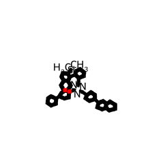 C[Si]1(C)c2cccc(-c3nc(-c4ccc(-c5ccccc5)cc4)nc(-c4ccc(-c5ccc6ccccc6c5)cc4)n3)c2-c2c1ccc1ccccc21